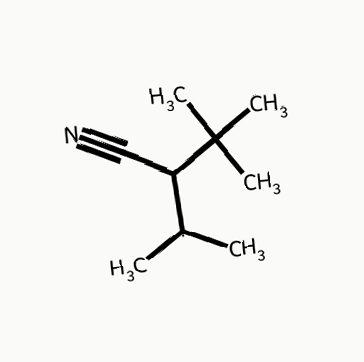 C[C](C)C(C#N)C(C)(C)C